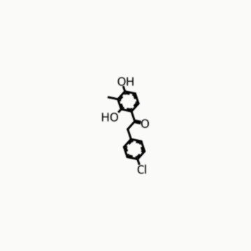 Cc1c(O)ccc(C(=O)Cc2ccc(Cl)cc2)c1O